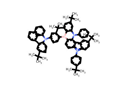 CC(C)(C)c1ccc(-n2c3ccc(C(C)(C)C)cc3c3c4c(ccc32)B2c3ccc(N(c5ccccc5)c5ccc(C(C)(C)C)cc5-c5ccccc5)cc3C(C)(C)c3cc(C(C)(C)C)cc(c32)N4c2ccccc2)cc1